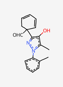 Cc1ccccc1-n1nc(C2(C=O)C=CC=CC2)c(O)c1C